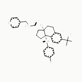 CC(F)(c1ccc2c(c1)CC[C@H]1[C@@H](C(=O)NCc3ccncc3)CC[C@@]21S(=O)(=O)c1ccc(F)cc1)C(F)(F)F